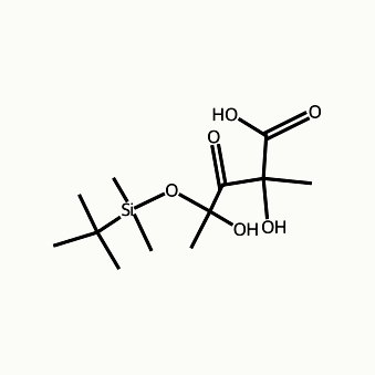 CC(O)(O[Si](C)(C)C(C)(C)C)C(=O)C(C)(O)C(=O)O